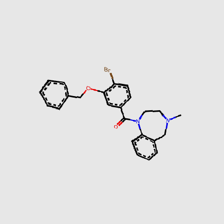 CN1CCN(C(=O)c2ccc(Br)c(OCc3ccccc3)c2)c2ccccc2C1